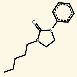 O=C1N(CCCCI)CCN1c1ccccc1